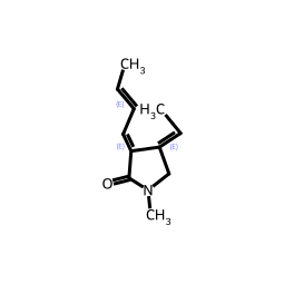 C/C=C/C=C1/C(=O)N(C)C/C1=C/C